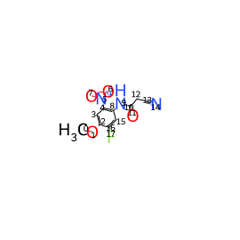 COc1cc([N+](=O)[O-])c(NC(=O)CC#N)cc1F